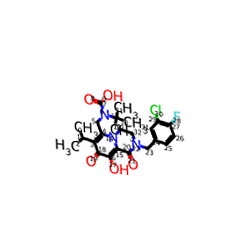 CC(C)c1c(CN(C(=O)O)C(C)(C)C)n2c(c(O)c1=O)C(=O)N(Cc1ccc(F)c(Cl)c1)CC2